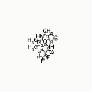 C[C@@H](NC(=O)N(C)[C@@H](C)c1c[nH]c(=O)c2c(F)c(F)ccc12)c1ccccc1